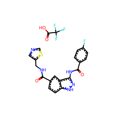 O=C(NCc1cncs1)c1ccc2[nH]nc(NC(=O)c3ccc(F)cc3)c2c1.O=C(O)C(F)(F)F